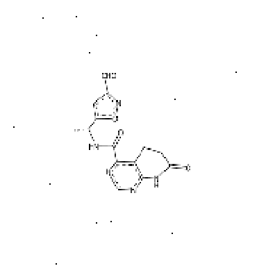 C[C@@H](NC(=O)c1ncnc2c1CCC(=O)N2)c1cc(C=O)no1